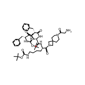 CC(C)C[C@@H](NC(=O)[C@@H](Cc1ccccc1)NC(=O)[C@@H](Cc1ccccc1)NC(=O)OC(C)(C)C)C(=O)N[C@H](CCCCNC(=O)OC(C)(C)C)C(=O)N1CC2(CCN(C(=O)CN)CC2)C1